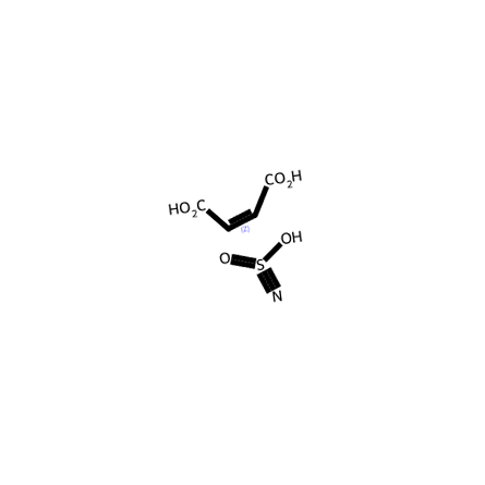 N#S(=O)O.O=C(O)/C=C\C(=O)O